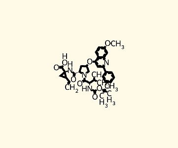 C=CC1C[C@]1(NC(=O)[C@@H]1CC(Oc2cc(-c3ccccc3)nc3cc(OC)ccc23)CN1C(=O)[C@@H](NC(=O)OC(C)(C)C)C(C)C)C(=O)O